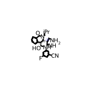 CC(C)CN1C(=O)c2ccccc2[C@H](C(O)Nc2cc(F)cc(C#N)c2)[C@H]1/C(C=N)=C/N